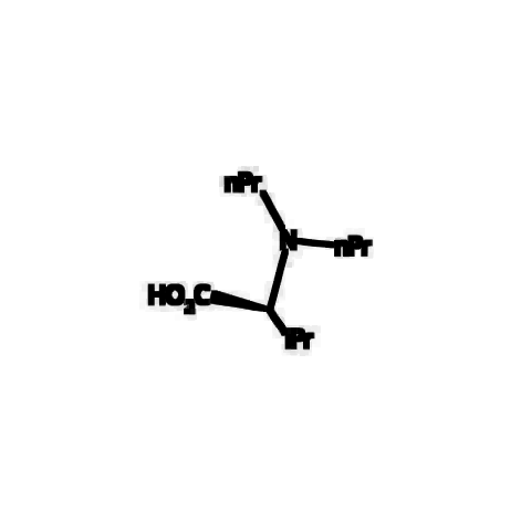 CCCN(CCC)[C@H](C(=O)O)C(C)C